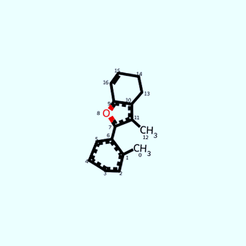 Cc1ccccc1-c1oc2c(c1C)CCC=C2